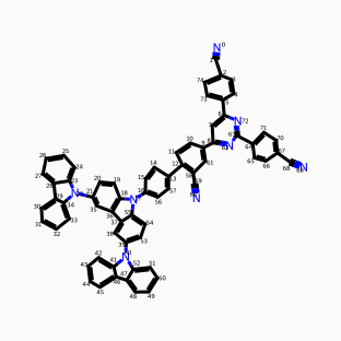 N#Cc1ccc(-c2cc(-c3ccc(-c4ccc(-n5c6ccc(-n7c8ccccc8c8ccccc87)cc6c6cc(-n7c8ccccc8c8ccccc87)ccc65)cc4)c(C#N)c3)nc(-c3ccc(C#N)cc3)n2)cc1